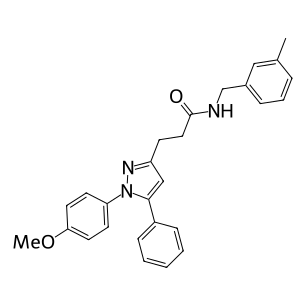 COc1ccc(-n2nc(CCC(=O)NCc3cccc(C)c3)cc2-c2ccccc2)cc1